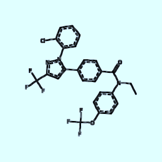 CCN(C(=O)c1ccc(-c2cc(C(F)(F)F)nn2-c2ccccc2Cl)cc1)c1ccc(OC(F)(F)F)cc1